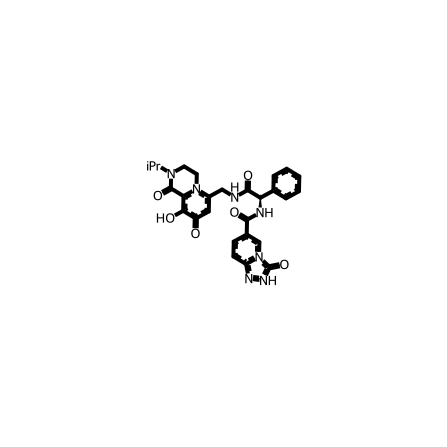 CC(C)N1CCn2c(CNC(=O)[C@H](NC(=O)c3ccc4n[nH]c(=O)n4c3)c3ccccc3)cc(=O)c(O)c2C1=O